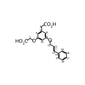 O=C(O)COc1cc(CC(=O)O)cc(OC/C=C/c2ccccc2)c1